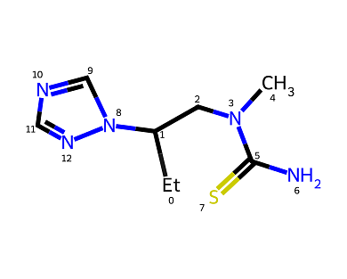 CCC(CN(C)C(N)=S)n1cncn1